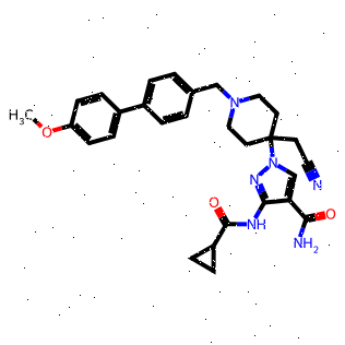 COc1ccc(-c2ccc(CN3CCC(CC#N)(n4cc(C(N)=O)c(NC(=O)C5CC5)n4)CC3)cc2)cc1